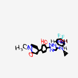 Cn1ccc(-c2ccc(-c3ncc(N(C4CC4)[C@H]4C[C@@H]5CC(F)(F)CC4[C@H](O)N5)nn3)c(O)c2)cc1=O